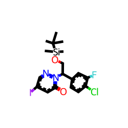 CC(C)(C)[Si](C)(C)OCC(c1ccc(Cl)c(F)c1)n1ncc(I)cc1=O